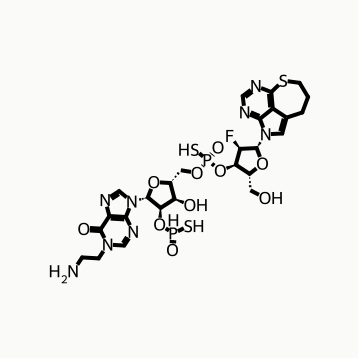 NCCn1cnc2c(ncn2[C@@H]2O[C@H](COP(=O)(S)O[C@H]3[C@@H](F)[C@H](n4cc5c6c(ncnc64)SCCC5)O[C@@H]3CO)[C@@H](O)[C@H]2O[PH](=O)S)c1=O